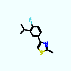 Cc1nc(-c2ccc(F)c(C(C)C)c2)cs1